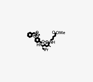 COC(=O)CCCCNC(=O)[C@@H](C)CC(O)[C@H](CC(C)C)NC(=O)c1cccc(N(C)S(=O)(=O)Cc2ccccc2)c1